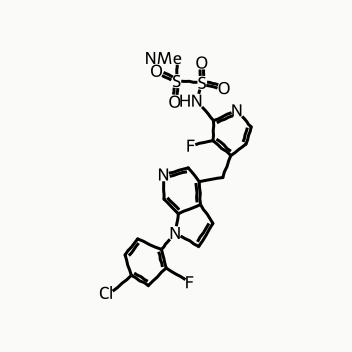 CNS(=O)(=O)S(=O)(=O)Nc1nccc(Cc2cncc3c2ccn3-c2ccc(Cl)cc2F)c1F